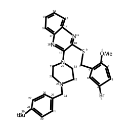 COc1ccc(Br)cc1CSc1nc2ccccc2nc1N1CCN(Cc2ccc(C(C)(C)C)cc2)CC1